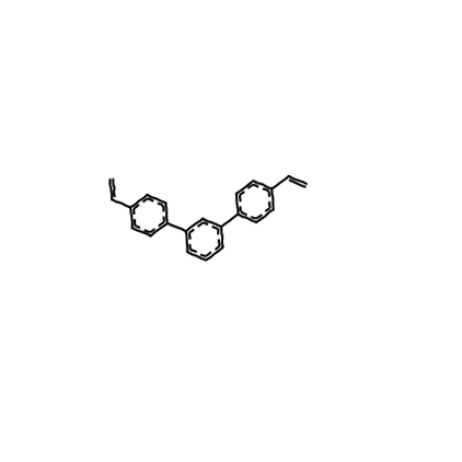 C=Cc1ccc(-c2cccc(-c3ccc(C=C)cc3)c2)cc1